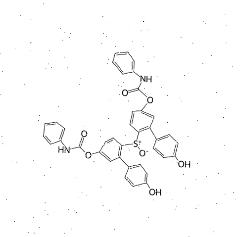 O=C(Nc1ccccc1)Oc1ccc([S+]([O-])c2ccc(OC(=O)Nc3ccccc3)cc2-c2ccc(O)cc2)c(-c2ccc(O)cc2)c1